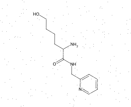 NC(CCCCO)C(=O)NCc1ccccn1